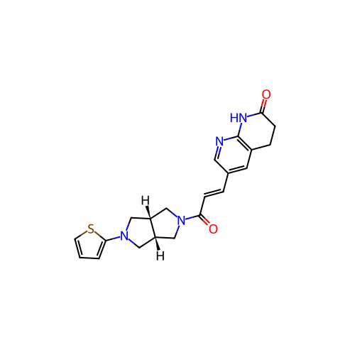 O=C1CCc2cc(/C=C/C(=O)N3C[C@@H]4CN(c5cccs5)C[C@@H]4C3)cnc2N1